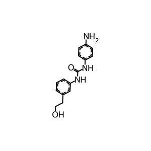 Nc1ccc(NC(=O)Nc2cccc(CCO)c2)cc1